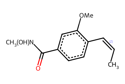 C/C=C\c1ccc(C(=O)N(C)O)cc1OC